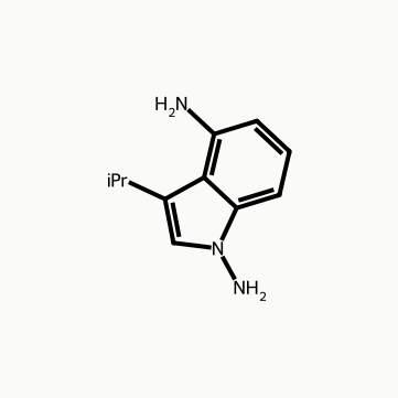 CC(C)c1cn(N)c2cccc(N)c12